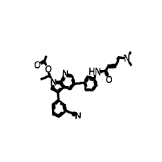 CC(=O)OC(C)n1cc(-c2cccc(C#N)c2)c2cc(-c3cccc(NC(=O)/C=C/CN(C)C)c3)cnc21